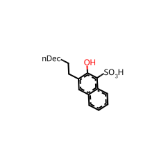 CCCCCCCCCCCCc1cc2ccccc2c(S(=O)(=O)O)c1O